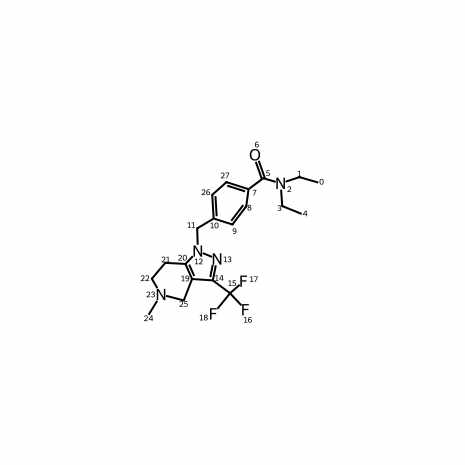 CCN(CC)C(=O)c1ccc(Cn2nc(C(F)(F)F)c3c2CCN(C)C3)cc1